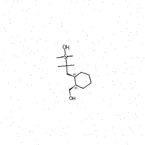 CC(C)(C[C@H]1CCCC[C@H]1CO)[Si](C)(C)O